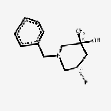 C[C@@]1(O)C[C@H](F)CN(Cc2ccccc2)C1